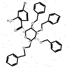 Cc1cc(Br)ccc1C(=O)[C@H]1O[C@H](COCc2ccccc2)[C@@H](OCc2ccccc2)[C@H](OCc2ccccc2)[C@@H]1OCc1ccccc1